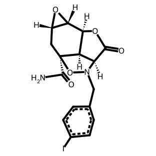 NC(=O)[C@]12C[C@@H]3O[C@@H]3[C@H]3OC(=O)[C@H]([C@H]31)N(Cc1ccc(I)cc1)O2